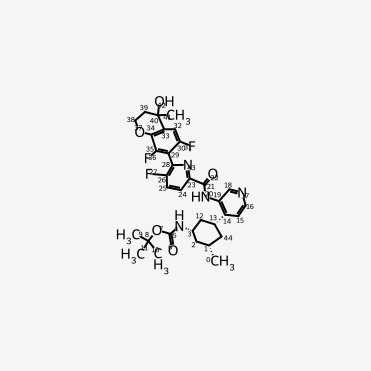 C[C@@H]1C[C@H](NC(=O)OC(C)(C)C)C[C@H](c2ccncc2NC(=O)c2ccc(F)c(-c3c(F)cc4c(c3F)OCCC4(C)O)n2)C1